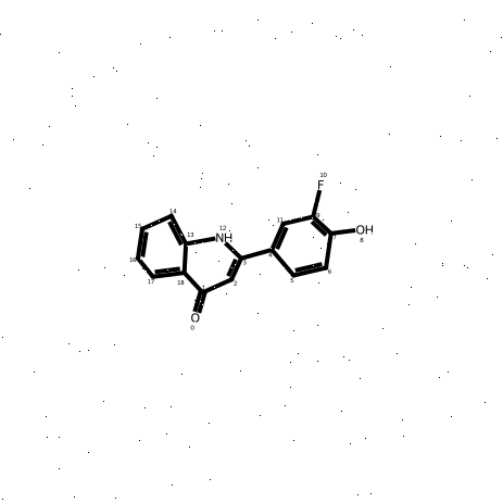 O=c1cc(-c2ccc(O)c(F)c2)[nH]c2ccccc12